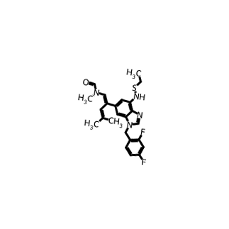 CCSNc1cc(/C(C=C(C)C)=C/N(C)C=O)cc2c1ncn2Cc1ccc(F)cc1F